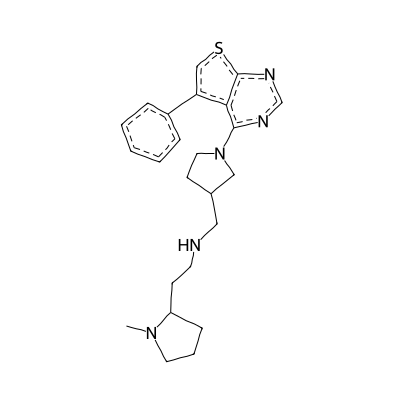 CN1CCCC1CCNCC1CCN(c2ncnc3scc(-c4ccccc4)c23)C1